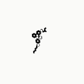 CCCCCCOc1ccc(OC(=O)c2cc(OCC(C)CC)ccc2-c2ccccc2)cc1